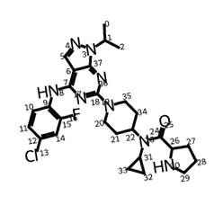 CC(C)n1ncc2c(Nc3ccc(Cl)cc3F)nc(N3CCC(N(C(=O)C4CCCN4)C4CC4)CC3)nc21